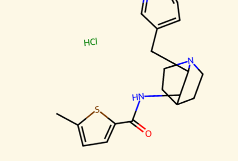 Cc1ccc(C(=O)NC2C3CCN(CC3)C2Cc2cccnc2)s1.Cl